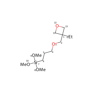 CCC1(COCCC[Si](OC)(OC)OC)COC1